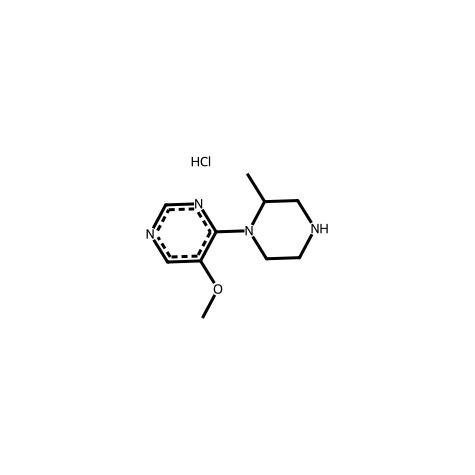 COc1cncnc1N1CCNCC1C.Cl